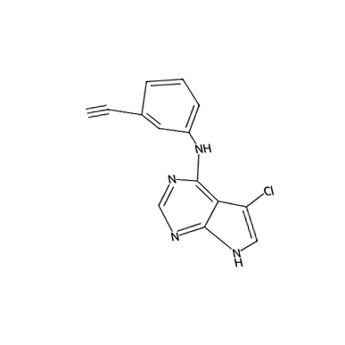 C#Cc1cccc(Nc2ncnc3[nH]cc(Cl)c23)c1